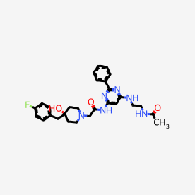 CC(=O)NCCNc1cc(NC(=O)CN2CCC(O)(Cc3ccc(F)cc3)CC2)nc(-c2ccccc2)n1